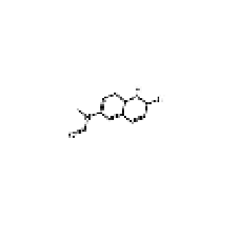 CN(C=O)C1=CCC2NC(Cl)C=CC2=C1